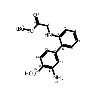 CC(C)(C)OC(=O)CNc1ccccc1-c1ccc(C(=O)O)c(N)c1